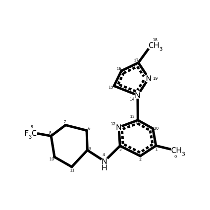 Cc1cc(NC2CCC(C(F)(F)F)CC2)nc(-n2ccc(C)n2)c1